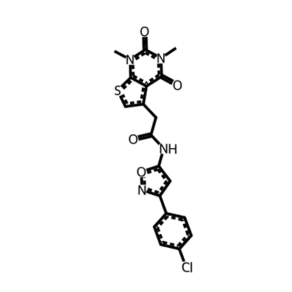 Cn1c(=O)c2c(CC(=O)Nc3cc(-c4ccc(Cl)cc4)no3)csc2n(C)c1=O